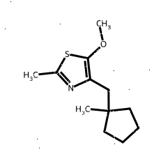 COc1sc(C)nc1CC1(C)CCCC1